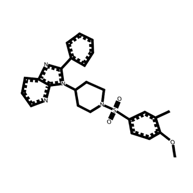 COc1ccc(S(=O)(=O)N2CCC(n3c(-c4ccccc4)nc4cccnc43)CC2)cc1C